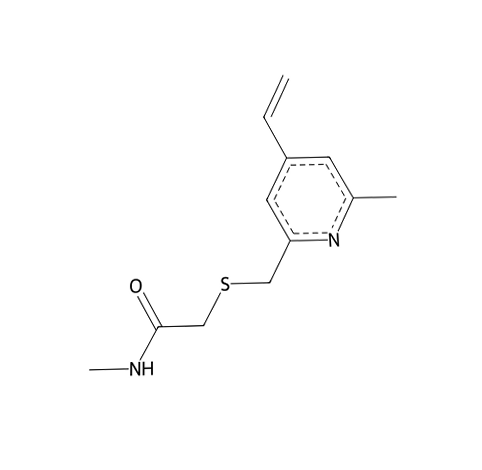 C=Cc1cc(C)nc(CSCC(=O)NC)c1